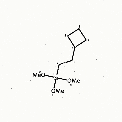 CO[Si](CCC1CCC1)(OC)OC